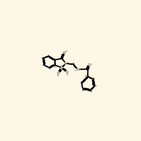 O=C(OCN1C(=O)c2ccccc2S1(=O)=O)c1ccccc1